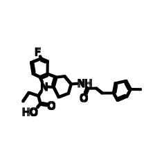 CCC(C(=O)O)n1c2c(c3cc(F)ccc31)CC(NC(=O)CCc1ccc(C)cc1)CC2